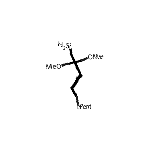 CCCCCCCC([SiH3])(OC)OC